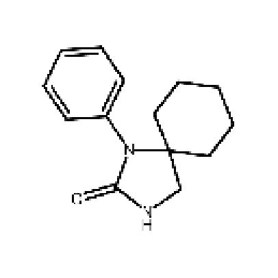 O=C1NCC2(CCCCC2)N1c1ccccc1